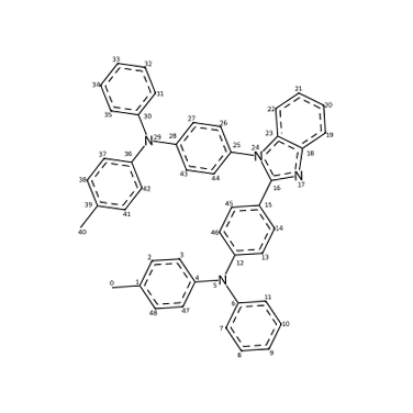 Cc1ccc(N(c2ccccc2)c2ccc(-c3nc4ccccc4n3-c3ccc(N(c4ccccc4)c4ccc(C)cc4)cc3)cc2)cc1